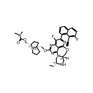 C#Cc1c(F)ccc2cccc(-c3nc4c5c(nc(OC[C@]67CCCN6[C@H](COC(=O)N(C)C)CC7)nc5c3F)N3C[C@@H](CC)NC[C@H]3CO4)c12